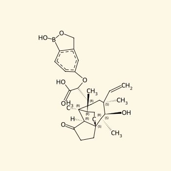 C=C[C@]1(C)C[C@@H](C(Oc2ccc3c(c2)COB3O)C(=O)O)[C@@]2(C)[C@H](C)CC[C@]3(CCC(=O)[C@H]32)[C@@H](C)[C@@H]1O